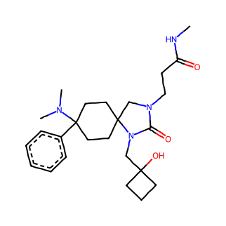 CNC(=O)CCN1CC2(CCC(c3ccccc3)(N(C)C)CC2)N(CC2(O)CCC2)C1=O